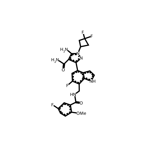 COc1ccc(F)cc1C(=O)NCc1c(F)cc(-c2nn(C3CC(F)(F)C3)c(N)c2C(N)=O)c2cc[nH]c12